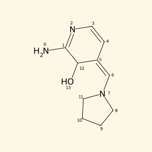 NC1=NC=CC(=CN2CCCC2)C1O